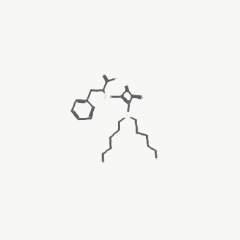 CCCCCCN(CCCCCC)c1c(NC(Cc2ccccc2)C(=O)O)c(=O)c1=O